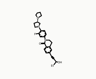 CCC(O)C#Cc1ccc2c(c1)CCN(c1ccc(N3CC[C@@H](N4CCCC4)C3)c(F)c1)C2=O